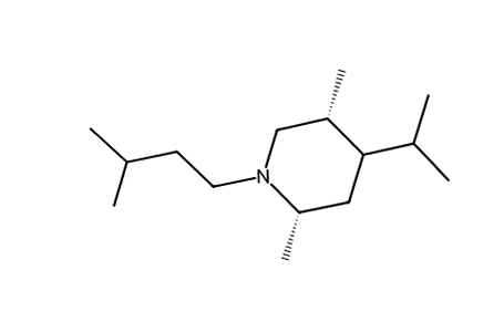 CC(C)CCN1C[C@H](C)C(C(C)C)C[C@@H]1C